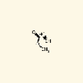 C#C.COC=O